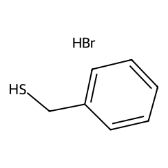 Br.SCc1ccccc1